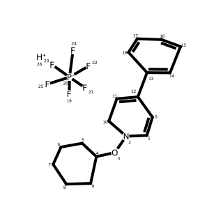 C1=CN(OC2CCCCC2)CC=C1c1ccccc1.F[P-](F)(F)(F)(F)F.[H+]